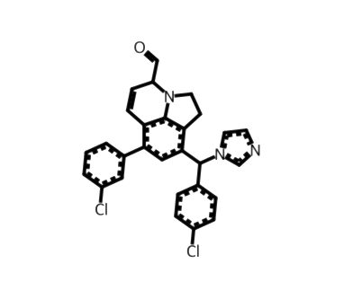 O=CC1C=Cc2c(-c3cccc(Cl)c3)cc(C(c3ccc(Cl)cc3)n3ccnc3)c3c2N1CC3